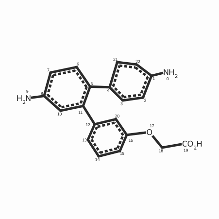 Nc1ccc(-c2ccc(N)cc2-c2cccc(OCC(=O)O)c2)cc1